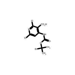 CCC(C)(C)OC(=O)Nc1cc(Cl)nc(Cl)c1C(=O)O